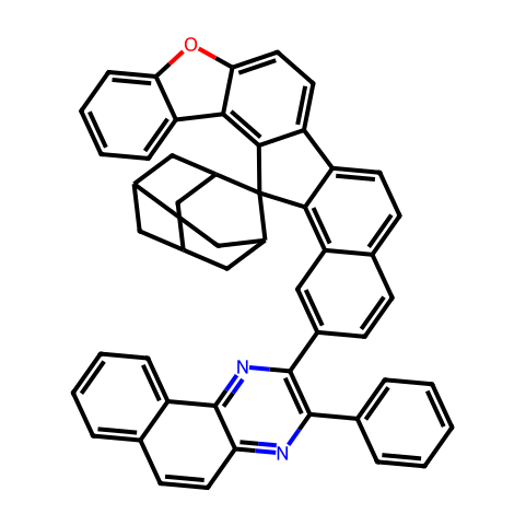 c1ccc(-c2nc3ccc4ccccc4c3nc2-c2ccc3ccc4c(c3c2)C2(c3c-4ccc4oc5ccccc5c34)C3CC4CC(C3)CC2C4)cc1